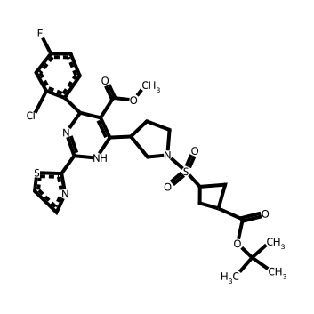 COC(=O)C1=C(C2CCN(S(=O)(=O)C3CC(C(=O)OC(C)(C)C)C3)C2)NC(c2nccs2)=NC1c1ccc(F)cc1Cl